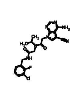 CC(C)N(CC(=O)NCc1cccc(Cl)c1F)C(=O)Cn1cc(C#N)c2c(N)ncnc21